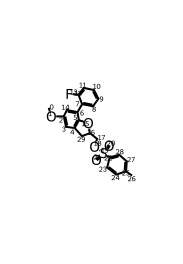 COc1cc2c(c(-c3ccccc3F)c1)OC(COS(=O)(=O)c1ccc(C)cc1)C2